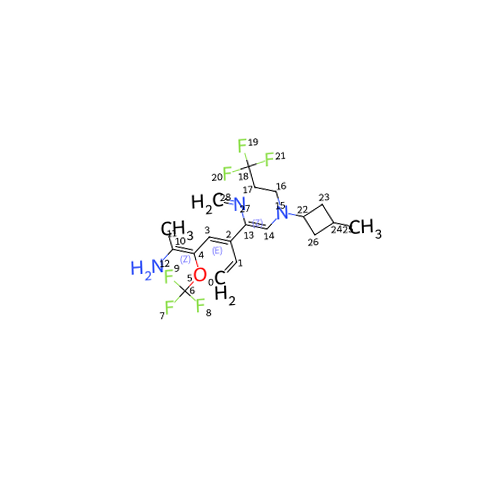 C=CC(=C\C(OC(F)(F)F)=C(/C)N)/C(=C/N(CCC(F)(F)F)C1CC(C)C1)N=C